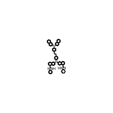 C1=Cc2[nH]c(-c3cccc4cc(N(c5ccc(/C=C/c6ccc(N(c7ccc8ccccc8c7)c7ccc8ccccc8c7)cc6)cc5)c5ccc6c(-c7nc8ccccc8[nH]7)cccc6c5)ccc34)nc2CC1